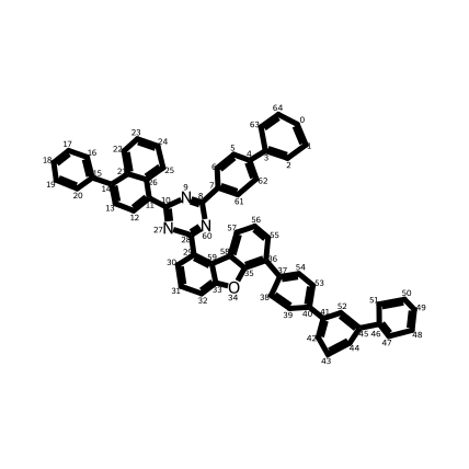 c1ccc(-c2ccc(-c3nc(-c4ccc(-c5ccccc5)c5ccccc45)nc(-c4cccc5oc6c(-c7ccc(-c8cccc(-c9ccccc9)c8)cc7)cccc6c45)n3)cc2)cc1